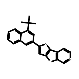 CC(C)(C)c1cc(-c2cc3sc4cnccc4c3s2)cc2ccccc12